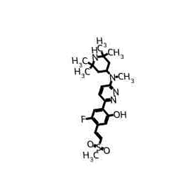 CN(c1ccc(-c2cc(F)c(/C=C/S(C)(=O)=O)cc2O)nn1)C1CC(C)(C)NC(C)(C)C1